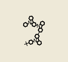 CC(C)(C)c1ccc(-n2c3ccccc3c3cc(-c4ccc5c6ccccc6n(-c6ccc7c(c6)c6ccccc6n7-c6ccccc6)c5c4)ccc32)cc1